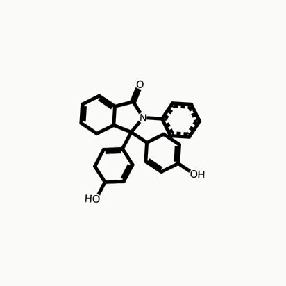 O=C1C2=CC=CCC2C(C2=CCC(O)C=C2)(C2C=CC(O)=CC2)N1c1ccccc1